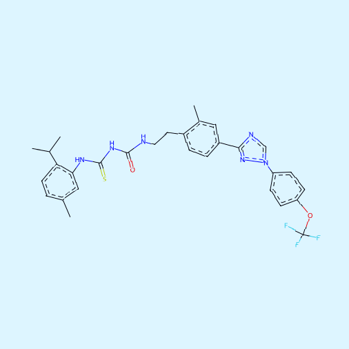 Cc1ccc(C(C)C)c(NC(=S)NC(=O)NCCc2ccc(-c3ncn(-c4ccc(OC(F)(F)F)cc4)n3)cc2C)c1